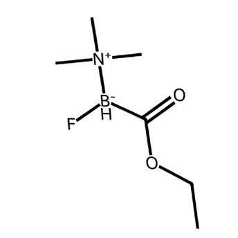 CCOC(=O)[BH-](F)[N+](C)(C)C